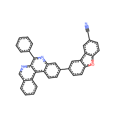 N#Cc1ccc2oc3ccc(-c4ccc5c(c4)nc(-c4ccccc4)c4ncc6ccccc6c45)cc3c2c1